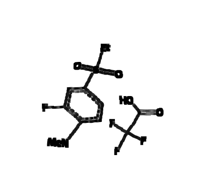 CCS(=O)(=O)c1ccc(NC)c(F)c1.O=C(O)C(F)(F)F